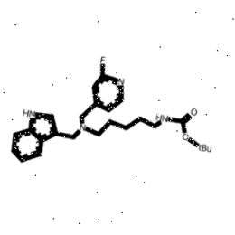 CC(C)(C)OC(=O)NCCCCCN(Cc1ccnc(F)c1)Cc1c[nH]c2ccccc12